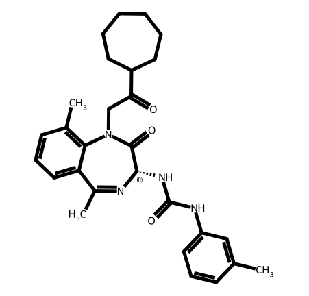 CC1=N[C@@H](NC(=O)Nc2cccc(C)c2)C(=O)N(CC(=O)C2CCCCCC2)c2c(C)cccc21